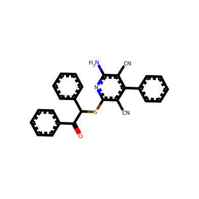 N#Cc1c(N)nc(SC(C(=O)c2ccccc2)c2ccccc2)c(C#N)c1-c1ccccc1